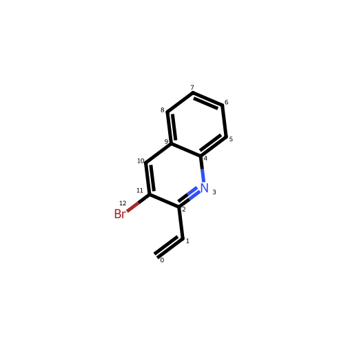 C=Cc1nc2ccccc2cc1Br